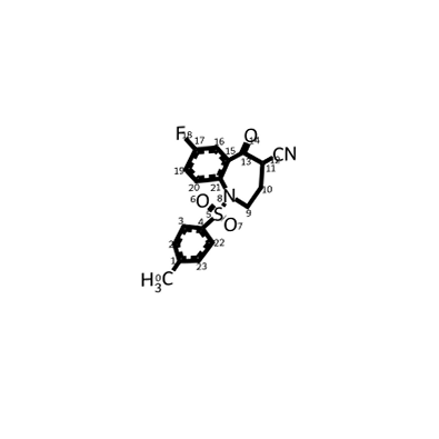 Cc1ccc(S(=O)(=O)N2CCC(C#N)C(=O)c3cc(F)ccc32)cc1